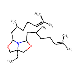 CCC12COC(CC(C)CCC=C(C)C)N1C(CC(C)CCC=C(C)C)OC2